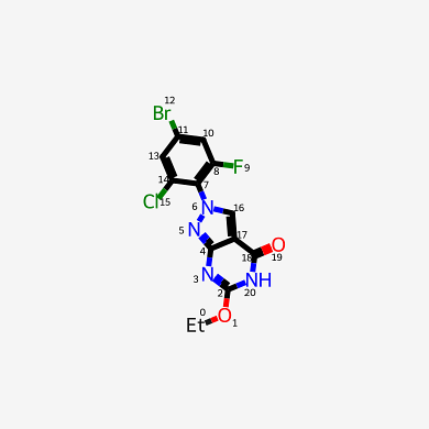 CCOc1nc2nn(-c3c(F)cc(Br)cc3Cl)cc2c(=O)[nH]1